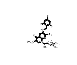 CCOC(=O)c1cn([C@H](CO[Si](C)(C)C(C)(C)C)C(C)(C)C)c2nc(C(F)(F)F)c(NCc3c(F)cc(F)cc3F)cc2c1=O